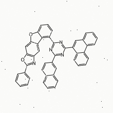 c1ccc(-c2nc3cc4c(cc3o2)oc2cccc(-c3nc(-c5ccc6ccccc6c5)nc(-c5cc6ccccc6c6ccccc56)n3)c24)cc1